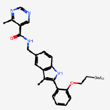 COCCOc1ccccc1-c1[nH]c2ccc(CNC(=O)c3cncnc3C)cc2c1C